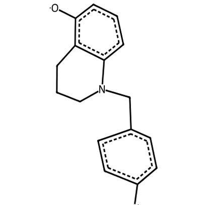 [O]c1cccc2c1CCCN2Cc1ccc(Cl)cc1